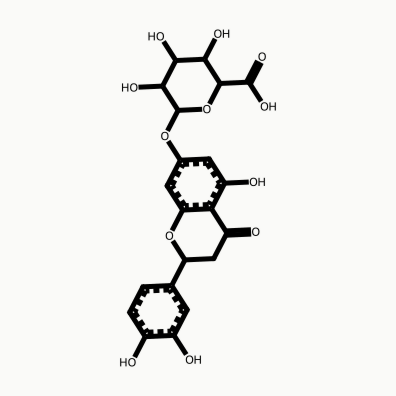 O=C1CC(c2ccc(O)c(O)c2)Oc2cc(OC3OC(C(=O)O)C(O)C(O)C3O)cc(O)c21